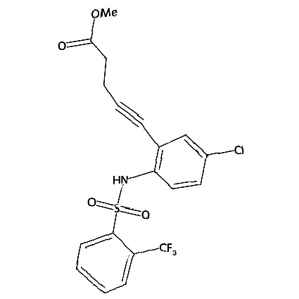 COC(=O)CCC#Cc1cc(Cl)ccc1NS(=O)(=O)c1ccccc1C(F)(F)F